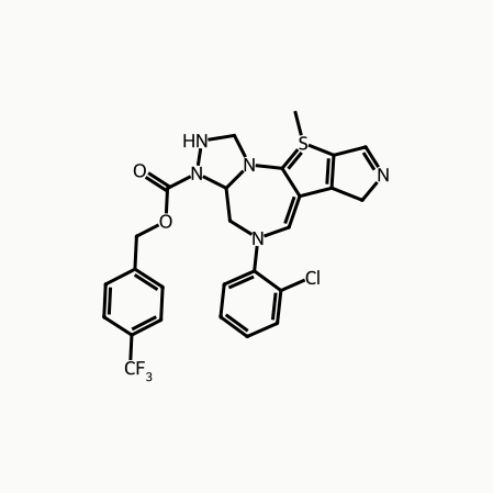 CS1=C2C(=CN(c3ccccc3Cl)CC3N2CNN3C(=O)OCc2ccc(C(F)(F)F)cc2)C2=C1C=NC2